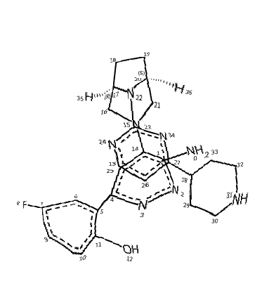 Nc1nnc(-c2cc(F)ccc2O)cc1N1C[C@H]2CC[C@@H](C1)N2c1nccc(C2CCNCC2)n1